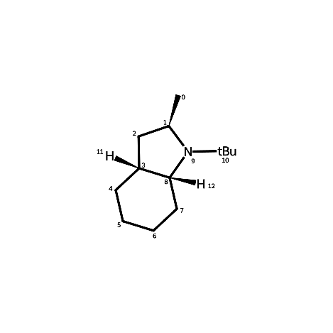 C[C@@H]1C[C@H]2CCCC[C@H]2N1C(C)(C)C